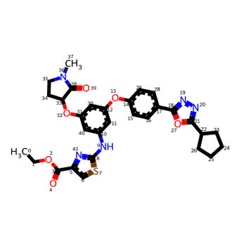 CCOC(=O)c1csc(Nc2cc(Oc3ccc(-c4nnc(C5CCCC5)o4)cc3)cc(OC3CCN(C)C3=O)c2)n1